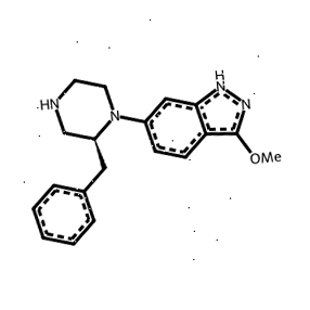 COc1n[nH]c2cc(N3CCNC[C@@H]3Cc3ccccc3)ccc12